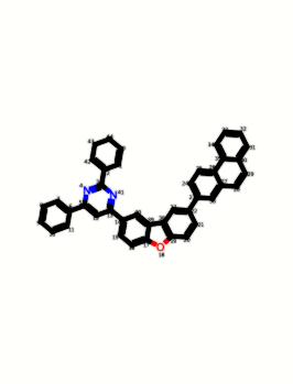 C1=CC(c2nc(-c3ccccc3)cc(-c3ccc4oc5ccc(-c6ccc7c(ccc8ccccc87)c6)cc5c4c3)n2)=CCC1